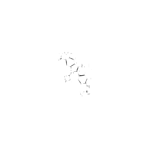 COC(=O)c1ccc2c(N)c(-c3ccc(NC(=O)OC(C)C)cc3)n(C3CCC3)c2c1